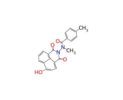 Cc1ccc(C(=O)N(C)N2C(=O)c3cccc4c(O)ccc(c34)C2=O)cc1